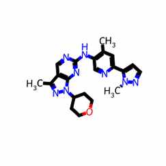 Cc1cc(-c2ccnn2C)ncc1Nc1ncc2c(C)nn(C3CCOCC3)c2n1